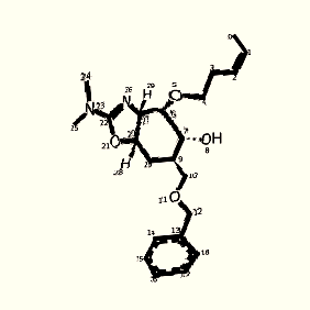 C/C=C\CCO[C@H]1[C@H](O)[C@@H](COCc2ccccc2)C[C@@H]2OC(N(C)C)=N[C@H]12